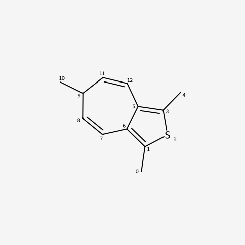 Cc1sc(C)c2c1C=CC(C)C=C2